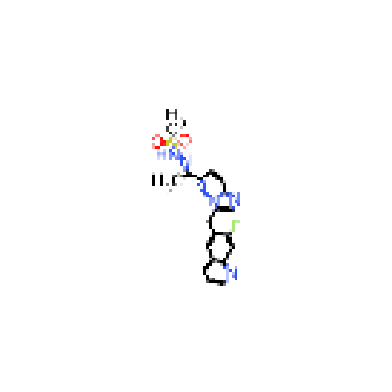 C/C(=N\NS(C)(=O)=O)c1ccc2ncc(Cc3cc4cccnc4cc3F)n2n1